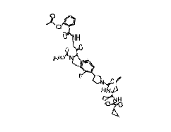 C=CC1CC1(NC(=O)N1CCC(c2ccc3c(c2F)CN(C(=O)O)C3C(=O)CNC(=O)c2ccccc2OC(C)=O)C1)C(=O)NS(=O)(=O)C1CC1